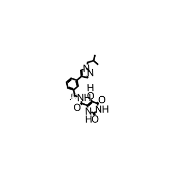 CC(C)Cn1cc(-c2cccc([C@@H](C)NC(=O)c3[nH]c(=O)[nH]c(=O)c3O)c2)cn1